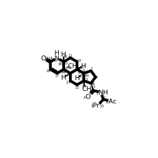 CC(=O)C(NC(=O)[C@@H]1CC[C@@H]2[C@H]3CC[C@H]4NC(=O)C=C[C@]4(C)[C@@H]3CC[C@]21C)C(C)C